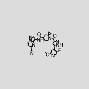 COc1cc(-c2cc(C(=O)N3CCC(C(=O)Nc4cnn5ccc(C#N)nc45)CC34CC4)n[nH]2)c(F)cn1